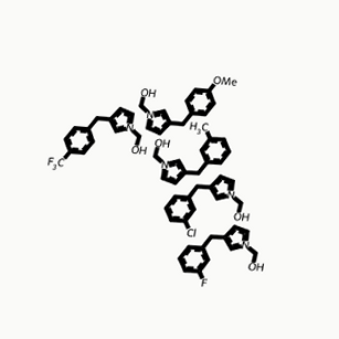 COc1ccc(Cc2ccn(CO)c2)cc1.Cc1cccc(Cc2ccn(CO)c2)c1.OCn1ccc(Cc2ccc(C(F)(F)F)cc2)c1.OCn1ccc(Cc2cccc(Cl)c2)c1.OCn1ccc(Cc2cccc(F)c2)c1